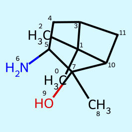 CC1(C)C2CC(N)C(C)(O)C1C2